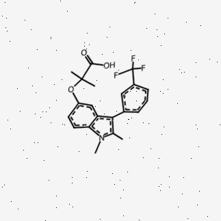 Cc1c(-c2cccc(C(F)(F)F)c2)c2cc(OC(C)(C)C(=O)O)ccc2n1C